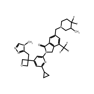 CC1CN(Cc2cc3c(c(C(F)(F)F)c2)CN(c2cc(C4(Cc5nncn5C)COC4)cc(C4CC4)n2)C3=O)CCC1(F)F